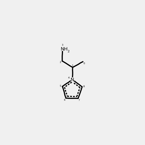 CC(CN)n1cccc1